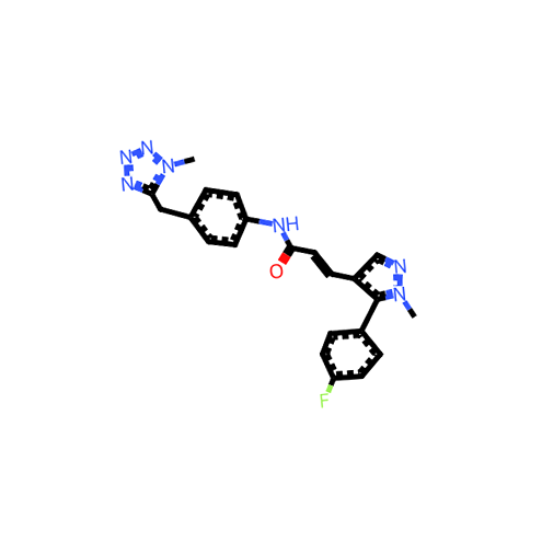 Cn1nnnc1Cc1ccc(NC(=O)/C=C/c2cnn(C)c2-c2ccc(F)cc2)cc1